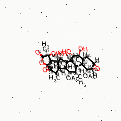 CC(=O)O[C@H]1[C@@H](C)[C@H]2[C@@H]([C@@H](O)[C@@H](O)[C@H]3C[C@@H]4O[C@@H]4[C@H](OC(C)=O)[C@]23C)[C@@H]2[C@@H](O)[C@@H]3[C@H]([C@H](C)[C@@H]4O[C@]45OC(=O)[C@@](C)(O)[C@]35C)[C@]21C